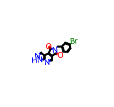 O=C1c2cnc3[nH]ncc3c2C(=O)N1Cc1cccc(Br)c1